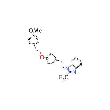 COc1ccc(CCOc2ccc(CCn3c(C(F)(F)F)nc4ccccc43)cc2)cc1